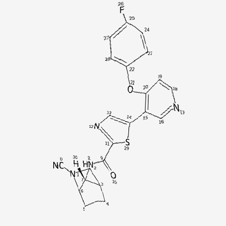 N#CN1CC2CCC1[C@@H]2NC(=O)c1ncc(-c2cnccc2Oc2ccc(F)cc2)s1